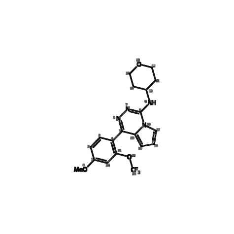 COc1ccc(-c2nnc(NC3CCOCC3)n3cccc23)c(OC(F)(F)F)c1